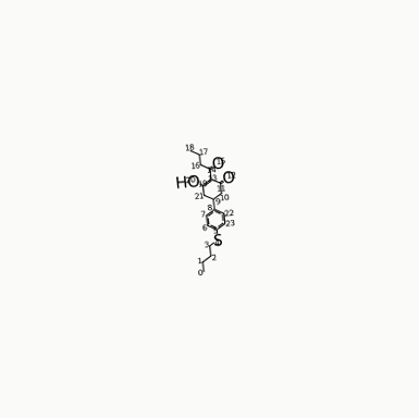 CCCCSc1ccc(C2CC(=O)C(C(=O)CCC)=C(O)C2)cc1